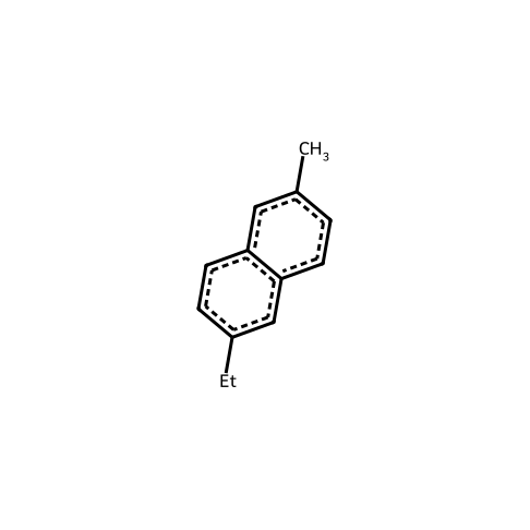 CCc1ccc2cc(C)ccc2c1